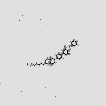 CCCCCCC1CC[C@@H]2C[C@H](c3ccc(-c4cc(F)c(OCc5ccccc5)c(F)c4)cc3)CC[C@@H]2C1